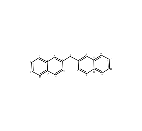 c1ccc2cc(Cc3ccc4ccccc4c3)ccc2c1